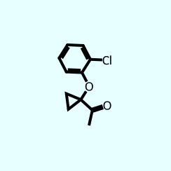 CC(=O)C1(Oc2ccccc2Cl)CC1